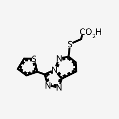 O=C(O)CSc1ccc2nnc(-c3cccs3)n2n1